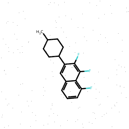 CC1CCC(c2cc3cccc(F)c3c(F)c2F)CC1